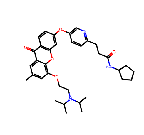 Cc1cc(OCCN(C(C)C)C(C)C)c2oc3cc(Oc4ccc(CCC(=O)NC5CCCC5)nc4)ccc3c(=O)c2c1